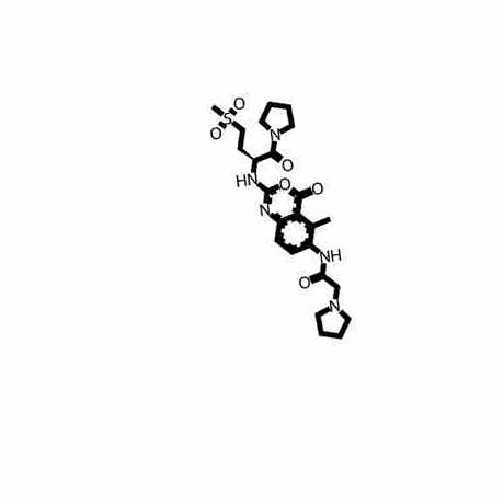 Cc1c(NC(=O)CN2CCCC2)ccc2nc(N[C@@H](CCS(C)(=O)=O)C(=O)N3CCCC3)oc(=O)c12